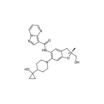 C[C@]1(CO)Cc2cc(NC(=O)c3cnn4cccnc34)c(N3CCC(C4(O)CC4)CC3)cc2O1